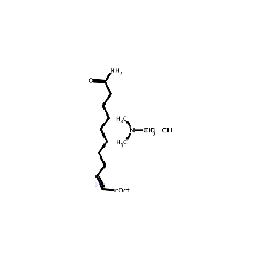 CCCCCCCC/C=C\CCCCCCCC(N)=O.CN(C)C.Cl.Cl